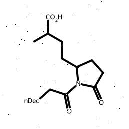 CCCCCCCCCCCC(=O)N1C(=O)CCC1CCC(C)C(=O)O